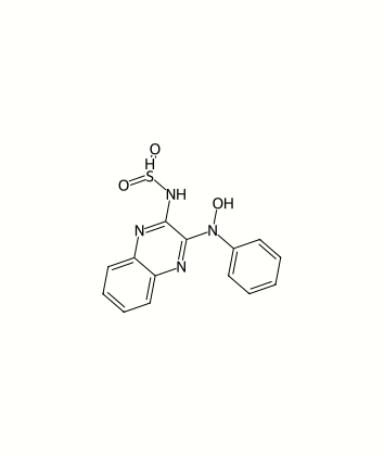 O=[SH](=O)Nc1nc2ccccc2nc1N(O)c1ccccc1